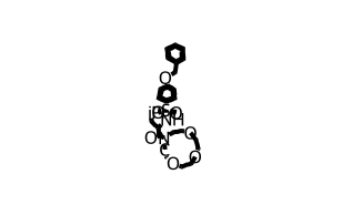 CC(C)CC(NS(=O)(=O)c1ccc(OCc2ccccc2)cc1)C(=O)N1CCOCCOCCOCC1